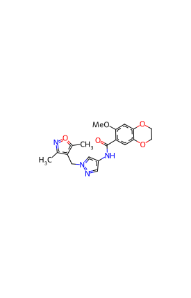 COc1cc2c(cc1C(=O)Nc1cnn(Cc3c(C)noc3C)c1)OCCO2